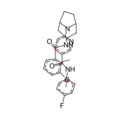 COc1cccc(C(=O)NC2CC3CCC(C2)N3c2ccc(C(=O)Nc3ccc(F)cc3)cn2)c1C